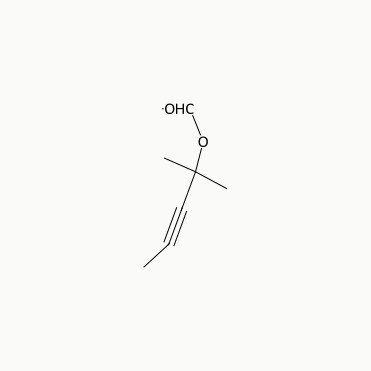 CC#CC(C)(C)O[C]=O